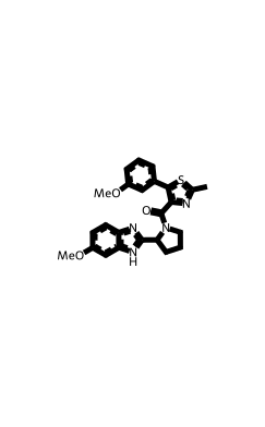 COc1cccc(-c2sc(C)nc2C(=O)N2CCCC2c2nc3ccc(OC)cc3[nH]2)c1